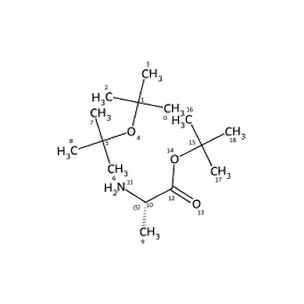 CC(C)(C)OC(C)(C)C.C[C@H](N)C(=O)OC(C)(C)C